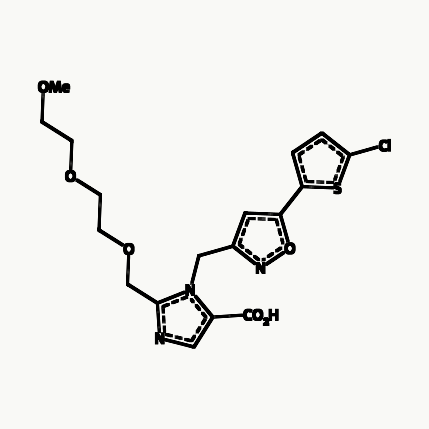 COCCOCCOCc1ncc(C(=O)O)n1Cc1cc(-c2ccc(Cl)s2)on1